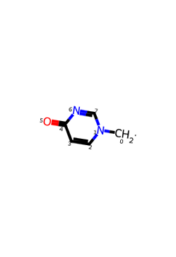 [CH2]n1ccc(=O)nc1